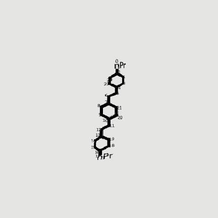 CCCC1CCC(CCC2CCC(CCC3CCC(CCC)CC3)CC2)CC1